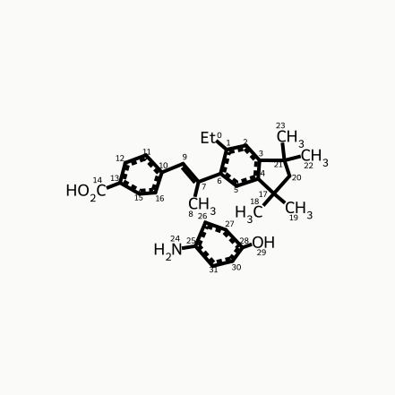 CCc1cc2c(cc1C(C)=Cc1ccc(C(=O)O)cc1)C(C)(C)CC2(C)C.Nc1ccc(O)cc1